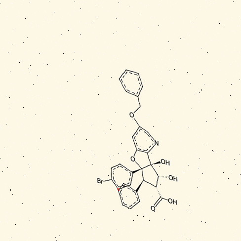 O=C(O)[C@H]1[C@@H](O)[C@@]2(O)c3ncc(OCc4ccccc4)cc3O[C@@]2(c2ccc(Br)cc2)[C@@H]1c1ccccc1